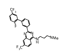 CNCCCNc1nc(-c2cccc(-c3cc(C(F)(F)F)ccc3F)c2)nc2cc(C(F)(F)F)ccc12